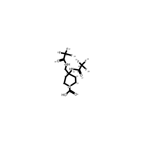 O=C(O)N1CCC(CNC(=O)C(F)(F)F)(NC(=O)C(F)(F)F)CC1